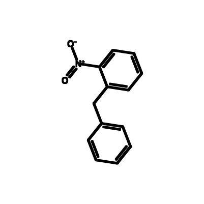 O=[N+]([O-])c1ccccc1Cc1ccccc1